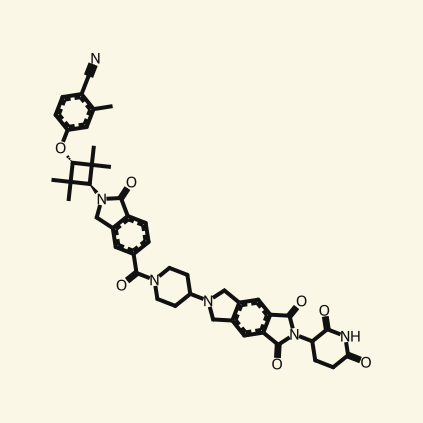 Cc1cc(O[C@H]2C(C)(C)[C@H](N3Cc4cc(C(=O)N5CCC(N6Cc7cc8c(cc7C6)C(=O)N(C6CCC(=O)NC6=O)C8=O)CC5)ccc4C3=O)C2(C)C)ccc1C#N